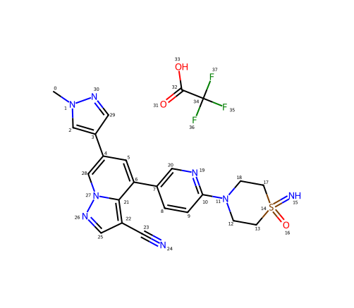 Cn1cc(-c2cc(-c3ccc(N4CCS(=N)(=O)CC4)nc3)c3c(C#N)cnn3c2)cn1.O=C(O)C(F)(F)F